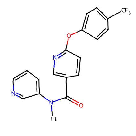 CCN(C(=O)c1ccc(Oc2ccc(C(F)(F)F)cc2)nc1)c1cccnc1